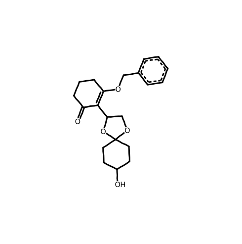 O=C1CCCC(OCc2ccccc2)=C1C1COC2(CCC(O)CC2)O1